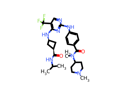 CC(C)NC(=O)[C@H]1C[C@@H](Nc2nc(Nc3ccc(C(=O)N(C)C4CCN(C)CC4)cc3)ncc2C(F)(F)F)C1